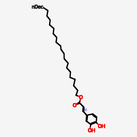 CCCCCCCCCCCCCCCCCCCCCCCCCCCCCCOC(=O)/C=C/c1ccc(O)c(O)c1